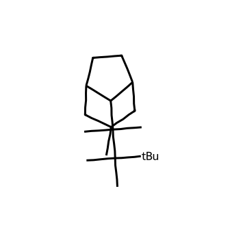 CC1CC2CCC(C1)C2C(C)(C)C(C)(C)C(C)(C)C